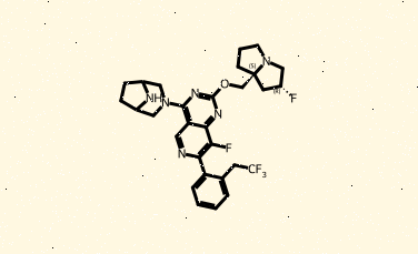 Fc1c(-c2ccccc2CC(F)(F)F)ncc2c(N3CC4CCC(C3)N4)nc(OC[C@@]34CCCN3C[C@H](F)C4)nc12